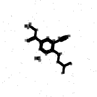 CC(C)COc1ccc(C(=O)CN)cc1C#N.Cl